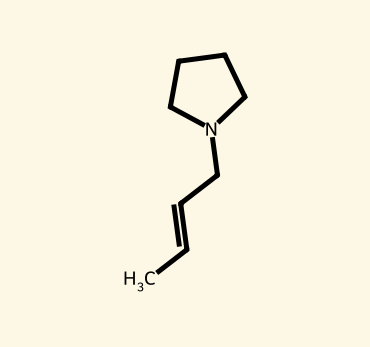 CC=CCN1CCCC1